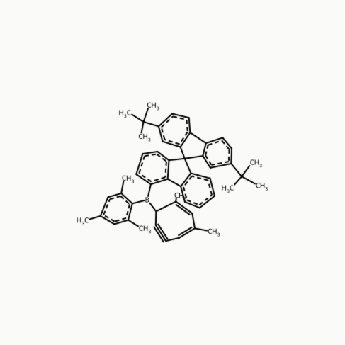 CC1=CC#CC(B(c2cccc3c2-c2ccccc2C32c3cc(C(C)(C)C)ccc3-c3ccc(C(C)(C)C)cc32)c2c(C)cc(C)cc2C)C(C)=C1